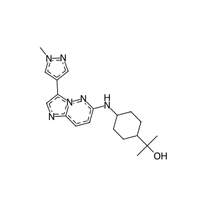 Cn1cc(-c2cnc3ccc(NC4CCC(C(C)(C)O)CC4)nn23)cn1